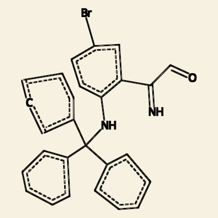 N=C(C=O)c1cc(Br)ccc1NC(c1ccccc1)(c1ccccc1)c1ccccc1